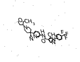 Cc1c(C(=O)Nc2ccc(C3(C#N)CCN(C4CCOC4C)CC3)nc2)cnn1-c1ccc(C(F)(F)F)cc1